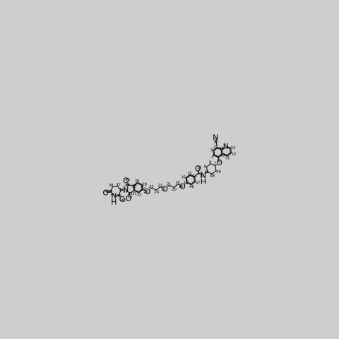 N#Cc1ccc(OC2CCC(NC(=O)c3ccc(OCCCOCCCOc4ccc5c(c4)C(=O)N(C4CCC(=O)NC4=O)C5=O)cc3)CC2)c2cccnc12